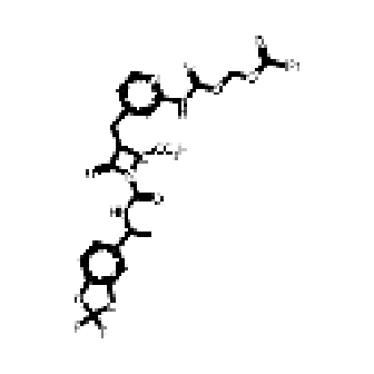 CC(C)C(=O)OCOC(=O)Nc1cc(CC2C(=O)N(C(=O)NC(C)c3ccc4c(c3)OC(F)(F)O4)[C@@H]2C(=O)O)ccn1